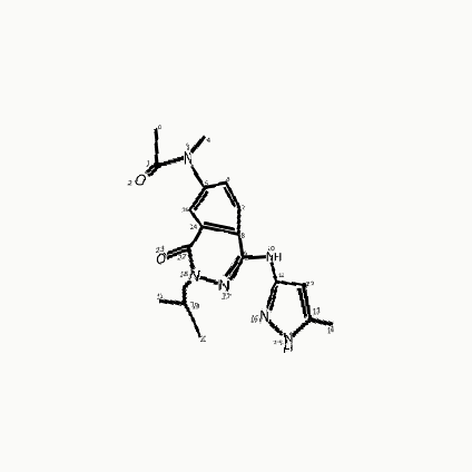 CC(=O)N(C)c1ccc2c(Nc3cc(C)[nH]n3)nn(C(C)C)c(=O)c2c1